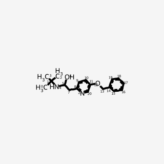 CC(C)(C)NC(O)Cc1ccc(OCc2ccccc2)cn1